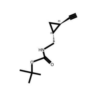 C#C[C@@H]1C[C@H]1CNC(=O)OC(C)(C)C